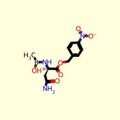 CB(O)N[C@H](CC(N)=O)C(=O)OCc1ccc([N+](=O)[O-])cc1